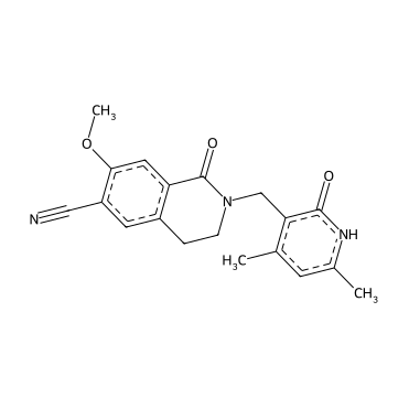 COc1cc2c(cc1C#N)CCN(Cc1c(C)cc(C)[nH]c1=O)C2=O